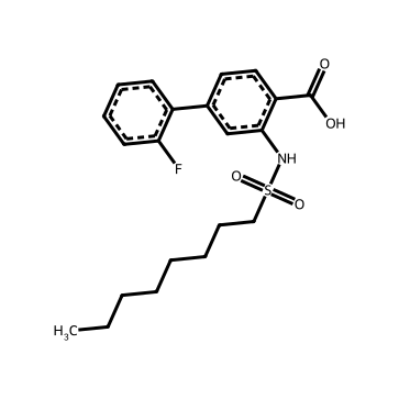 CCCCCCCCS(=O)(=O)Nc1cc(-c2ccccc2F)ccc1C(=O)O